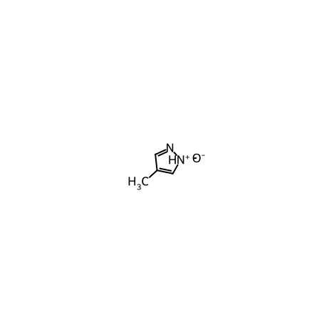 CC1=C[NH+]([O-])N=C1